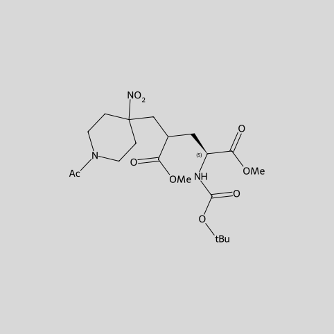 COC(=O)C(C[C@H](NC(=O)OC(C)(C)C)C(=O)OC)CC1([N+](=O)[O-])CCN(C(C)=O)CC1